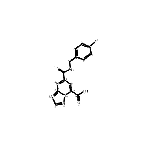 O=C(NCc1ccc(F)cc1)c1cc(C(=O)O)n2ncnc2n1